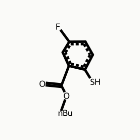 CCCCOC(=O)c1cc(F)ccc1S